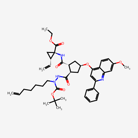 C=CCCCCCN(NC(=O)[C@@H]1C[C@H](Oc2cc(-c3ccccc3)nc3cc(OC)ccc23)C[C@H]1C(=O)N[C@]1(C(=O)OCC)C[C@H]1C=C)C(=O)OC(C)(C)C